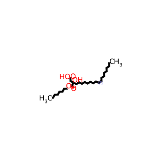 CCCCCCCC/C=C\CCCCCCCCC(O)(CC(=O)O)C(=O)OCCCCCCCC